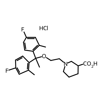 Cc1cc(F)ccc1C(C)(OCCN1CCCC(C(=O)O)C1)c1ccc(F)cc1C.Cl